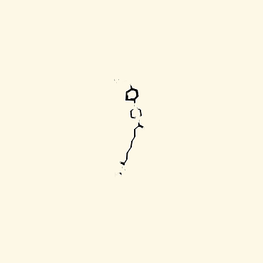 COc1ccc(N2CCN(C(=O)CCCCCCC(=O)NO)CC2)cc1